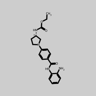 CCOC(=O)N[C@H]1CCN(c2ccc(C(=O)Nc3ccccc3N)cc2)C1